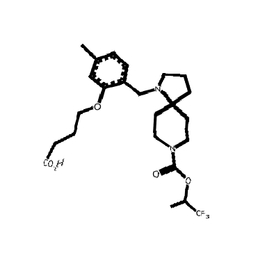 Cc1ccc(CN2CCCC23CCN(C(=O)OC(C)C(F)(F)F)CC3)c(OCCCC(=O)O)c1